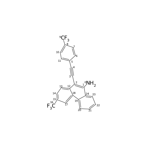 Nc1c(C#Cc2ccc(C(F)(F)F)cc2)c2ccc(C(F)(F)F)cc2c2ccccc12